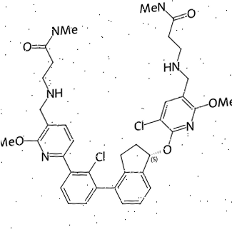 CNC(=O)CCNCc1ccc(-c2cccc(-c3cccc4c3CC[C@@H]4Oc3nc(OC)c(CNCCC(=O)NC)cc3Cl)c2Cl)nc1OC